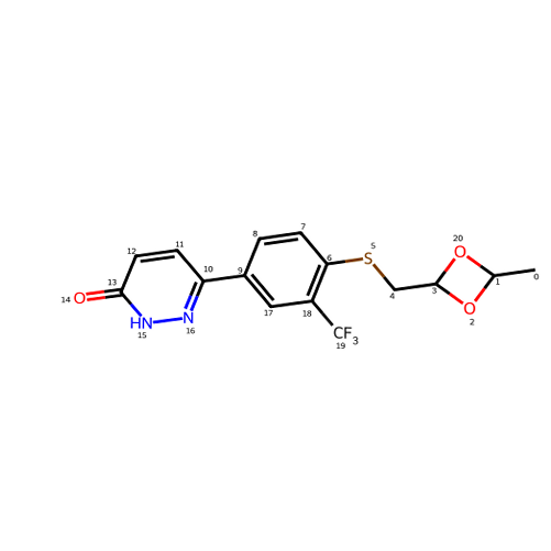 CC1OC(CSc2ccc(-c3ccc(=O)[nH]n3)cc2C(F)(F)F)O1